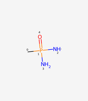 CP([NH])(N)=O